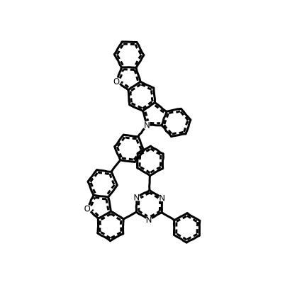 c1ccc(-c2nc(-c3ccccc3)nc(-c3cccc4oc5ccc(-c6ccc(-n7c8ccccc8c8cc9c(cc87)oc7ccccc79)cc6)cc5c34)n2)cc1